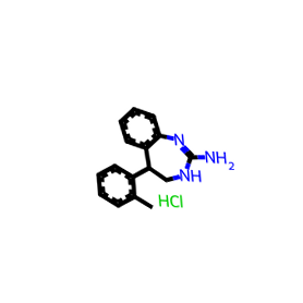 Cc1ccccc1C1CNC(N)=Nc2ccccc21.Cl